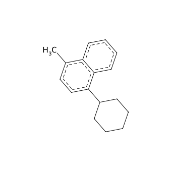 Cc1ccc(C2CCCCC2)c2ccccc12